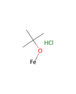 CC(C)(C)[O][Fe].Cl